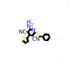 N#Cc1c(N)nc(SCc2ccccc2)c(C#N)c1-c1cccs1